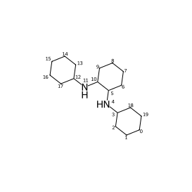 C1CCC(NC2CCCCC2NC2CCCCC2)CC1